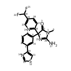 CN1C(=O)C(c2cccc(-c3cscn3)c2)(c2ccc(C(F)F)cn2)N=C1N